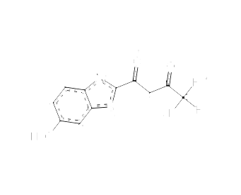 Cc1ccc2nc(C(=O)CC(=O)C(F)(F)F)sc2c1